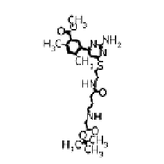 COC(=O)c1cc(-c2cc(SCCNC(=O)CCCNCC(=O)OC(C)(C)C)nc(N)n2)c(C)cc1C